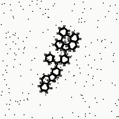 C1=CC2c3cc(N(c4ccccc4)c4cccc(-n5c6cccc7c6c6c8c(cccc8ccc65)-c5ccccc5-7)c4)ccc3SC2c2ccccc21